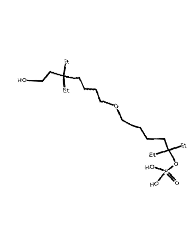 CCC(CC)(CCO)CCCCOCCCCC(CC)(CC)OP(=O)(O)O